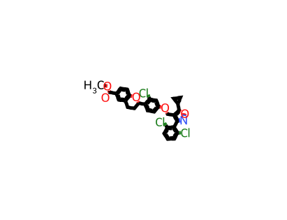 COC(=O)c1ccc2c(c1)CCC(c1ccc(OCc3c(-c4c(Cl)cccc4Cl)noc3C3CC3)cc1Cl)O2